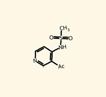 CC(=O)c1[c]nccc1NS(C)(=O)=O